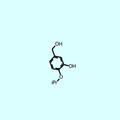 CC(C)Oc1ccc(CO)cc1O